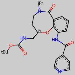 CC(C)N1CC[C@H](CNC(=O)OC(C)(C)C)Oc2c(NC(=O)c3ccncc3)cccc2C1=O